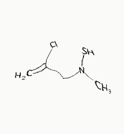 C=C(Cl)CN(C)S